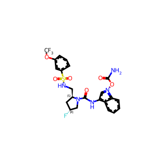 NC(=O)On1cc(NC(=O)N2C[C@H](F)C[C@H]2CNS(=O)(=O)c2cccc(OC(F)(F)F)c2)c2ccccc21